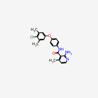 Cc1cc(Oc2ccc(NC(=O)c3c(C)ccnc3N)cc2)cc(C)c1Cl